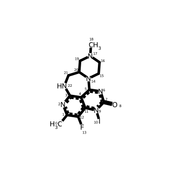 Cc1nc2c3c(nc(=O)n(I)c3c1F)N1CCN(C)CC1CN2